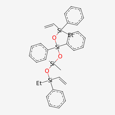 C=C[Si](CC)(O[Si](C)(C)O[Si](O[Si](C=C)(CC)c1ccccc1)(c1ccccc1)c1ccccc1)c1ccccc1